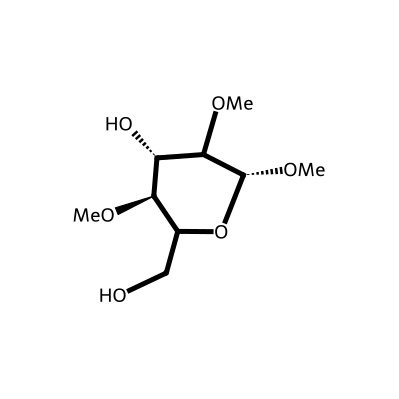 COC1[C@H](OC)OC(CO)[C@@H](OC)[C@@H]1O